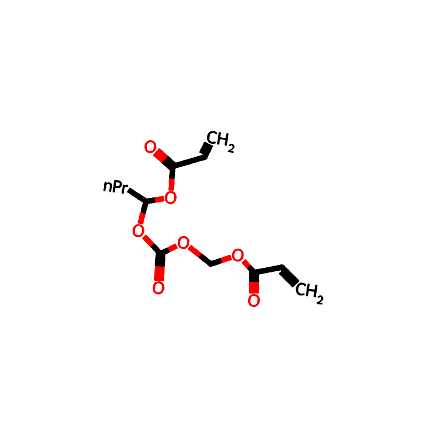 C=CC(=O)OCOC(=O)OC(CCC)OC(=O)C=C